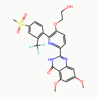 COc1cc(OC)c2c(=O)[nH]c(-c3ccc(OCCO)c(-c4ccc(S(C)(=O)=O)cc4C(F)(F)F)n3)nc2c1